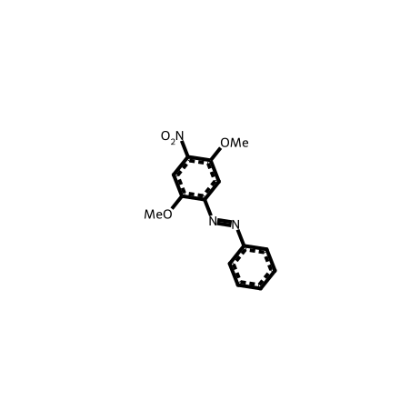 COc1cc([N+](=O)[O-])c(OC)cc1N=Nc1ccccc1